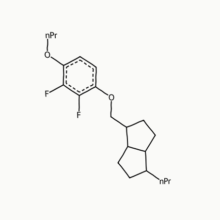 CCCOc1ccc(OCC2CCC3C(CCC)CCC23)c(F)c1F